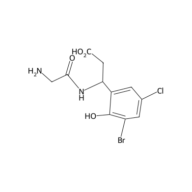 NCC(=O)NC(CC(=O)O)c1cc(Cl)cc(Br)c1O